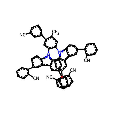 N#Cc1cccc(-c2cc(-n3c4ccc(-c5ccccc5C#N)cc4c4cc(-c5ccccc5C#N)ccc43)c(-n3c4ccc(-c5ccccc5C#N)cc4c4cc(-c5ccccc5C#N)ccc43)cc2C(F)(F)F)c1